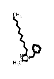 CCCCCCCCCCCC1=NC(C)CN1Cc1ccccc1